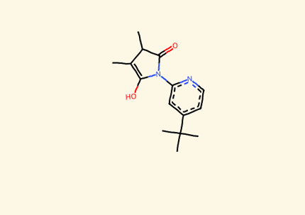 CC1=C(O)N(c2cc(C(C)(C)C)ccn2)C(=O)C1C